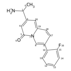 CC(N)c1cc(=O)n2cc(-c3ccccc3F)ccc2c1